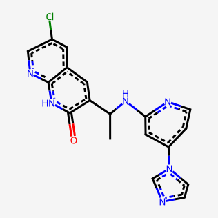 CC(Nc1cc(-n2ccnc2)ccn1)c1cc2cc(Cl)cnc2[nH]c1=O